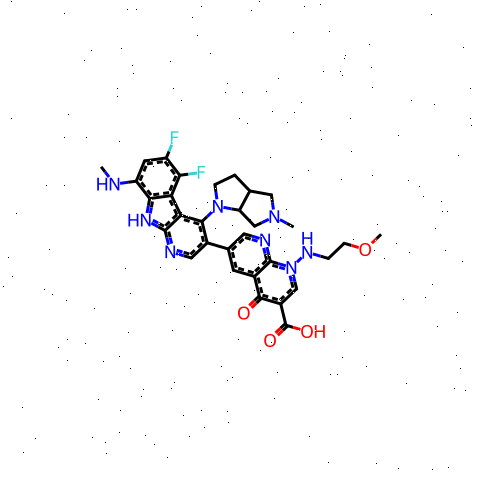 CNc1cc(F)c(F)c2c1[nH]c1ncc(-c3cnc4c(c3)c(=O)c(C(=O)O)cn4NCCOC)c(N3CCC4CN(C)CC43)c12